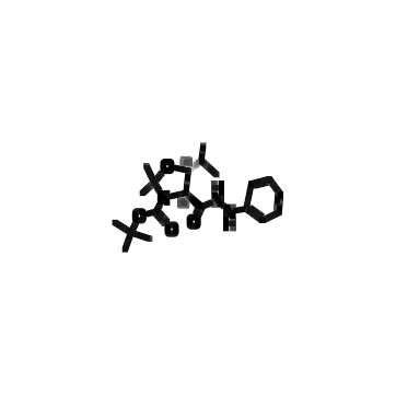 CC(C)[C@H]1OC(C)(C)N(C(=O)OC(C)(C)C)[C@@H]1C(=O)NNc1ccccc1